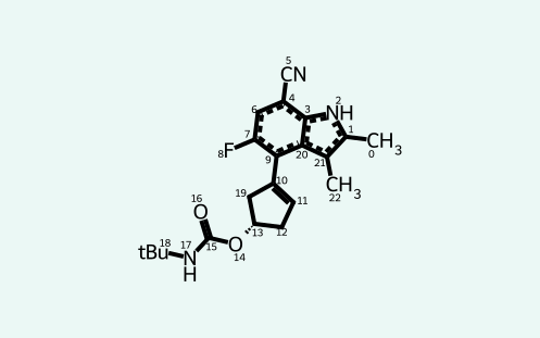 Cc1[nH]c2c(C#N)cc(F)c(C3=CC[C@H](OC(=O)NC(C)(C)C)C3)c2c1C